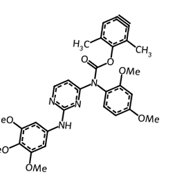 COc1ccc(N(C(=O)Oc2c(C)c#ccc2C)c2ccnc(Nc3cc(OC)c(OC)c(OC)c3)n2)c(OC)c1